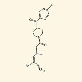 C=C/C(Br)=C\C(I)CC(=O)N1CCC(C(=O)c2ccc(Cl)cc2)CC1